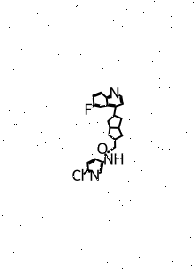 O=C(CC1CC2CC(c3ccnc4ccc(F)cc34)CC2C1)Nc1ccc(Cl)nc1